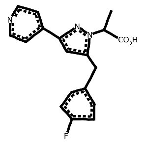 CC(C(=O)O)n1nc(-c2ccncc2)cc1Cc1ccc(F)cc1